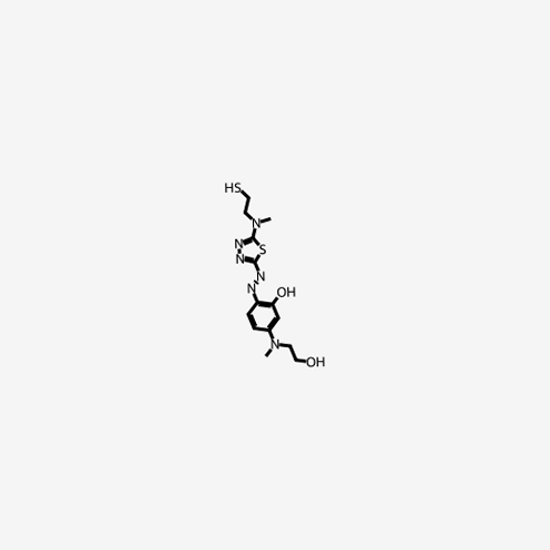 CN(CCO)c1ccc(/N=N/c2nnc(N(C)CCS)s2)c(O)c1